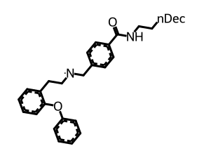 CCCCCCCCCCCCNC(=O)c1ccc(C[N]CCc2ccccc2Oc2ccccc2)cc1